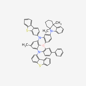 Cc1cc2c3c(c1)N(c1cccc4sc5ccccc5c14)c1ccc(-c4ccccc4)cc1B3c1ccc(N3c4ccccc4C4(C)CCCCC34C)cc1N2c1ccc2c(c1)sc1ccccc12